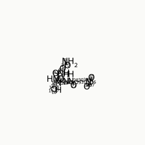 NC(=O)COCNC(=O)CNC(Cc1ccccc1)NC(=O)CNCNC(=O)CCCCCN1C(=O)CCC1=O